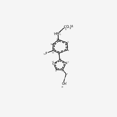 O=C(O)Nc1ccc(-c2nc(CO)co2)c(F)c1